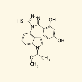 COC(C)n1ccc2c(-n3c(S)nnc3-c3ccc(O)cc3O)cccc21